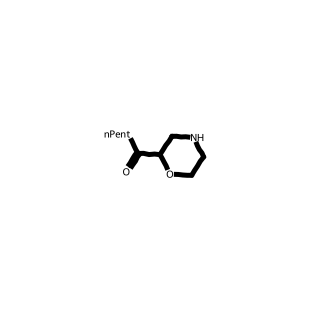 [CH2]CCCCC(=O)C1CNCCO1